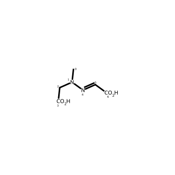 CN(CC(=O)O)N=CC(=O)O